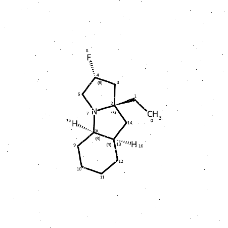 CC[C@]12C[C@@H](F)CN1[C@@H]1CCCC[C@@H]1C2